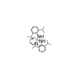 CCN1C=CC=CC1(Nc1c(C(C)C)cccc1C(C)C)Nc1c(C(C)C)cccc1C(C)C